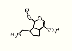 CCOC1OC=C(C(=O)O)C2CCC(CN)C12